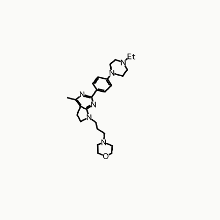 CCN1CCN(c2ccc(-c3nc(C)c4c(n3)N(CCCN3CCOCC3)CC4)cc2)CC1